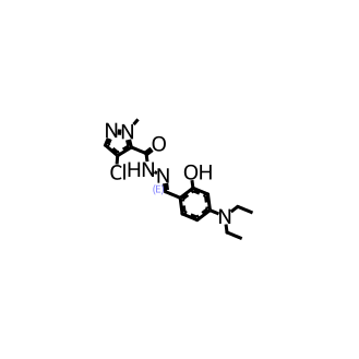 CCN(CC)c1ccc(/C=N/NC(=O)c2c(Cl)cnn2C)c(O)c1